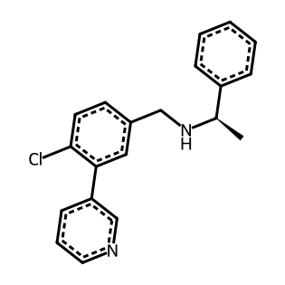 C[C@@H](NCc1ccc(Cl)c(-c2cccnc2)c1)c1ccccc1